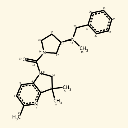 Cc1ccc2c(n1)C(C)(C)CN2C(=O)N1CC[C@@H](N(C)Cc2ccccc2)C1